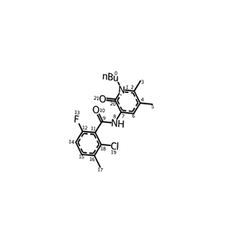 CCCCn1c(C)c(C)cc(NC(=O)c2c(F)ccc(C)c2Cl)c1=O